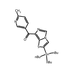 CCC[CH2][Sn]([CH2]CCC)([CH2]CCC)[c]1cn2cnc(C(=O)c3ccc(C)nc3)c2s1